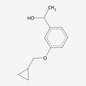 CC(O)c1cccc(OCC2CC2)c1